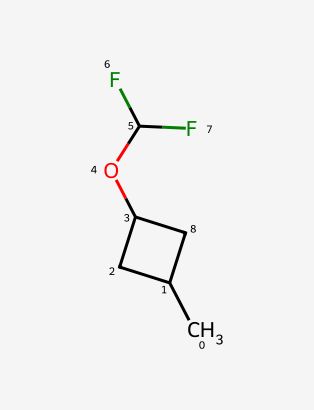 CC1CC(OC(F)F)C1